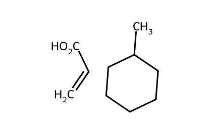 C=CC(=O)O.CC1CCCCC1